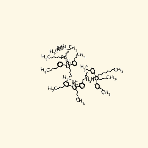 CCCCC1=C(c2cccc(CCCC)c2)[N+](=[N-])C(c2cccc(CCCC)c2)=C1.CCCCC1=C(c2cccc(CCCC)c2)[N+](=[N-])C(c2cccc(CCCC)c2)=C1.CCCCCCCCC1=C(c2cccc(CC)c2)[N+](=[N-])C(c2cccc(CC)c2)=C1CCCC.CCCCC[CH2][Pd][CH2]CCCCC.[CH3][Ni][CH3].[Pd+2]